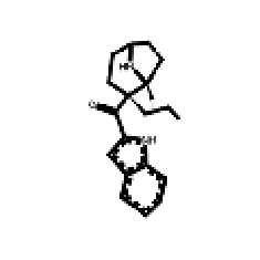 CCC[C@@]1(C(=O)c2cc3ccccc3[nH]2)CCC2CC[C@H]1N2